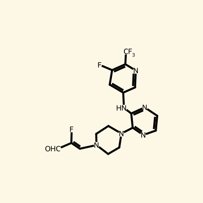 O=CC(F)=CN1CCN(c2nccnc2Nc2cnc(C(F)(F)F)c(F)c2)CC1